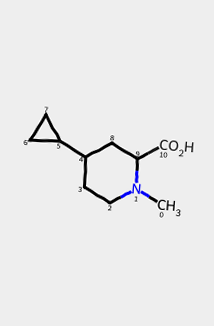 CN1CCC(C2CC2)CC1C(=O)O